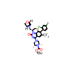 C[C@@H]1CN(c2nc(=O)n3c4c(c(-c5ccc(F)cc5F)c(C(F)(F)F)cc24)SC[C@@H]3CN2C[C@@H]3C[C@H]2CO3)C[C@H](C)N1C(=O)OC(C)(C)C